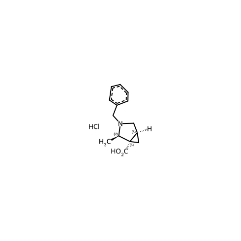 C[C@H]1N(Cc2ccccc2)C[C@H]2C[C@]21C(=O)O.Cl